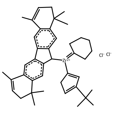 CC1=CCC(C)(C)c2cc3c(cc21)-c1cc2c(cc1[CH]3[Zr+2]([C]1=CC(C(C)(C)C)=CC1)=[C]1CCCCC1)C(C)(C)CC=C2C.[Cl-].[Cl-]